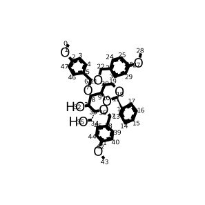 COc1ccc(CO[C@H](C2O[C@H](c3ccccc3)OC[C@@H]2OCc2ccc(OC)cc2)C(O)[C@@H](CO)OCc2ccc(OC)cc2)cc1